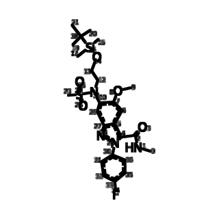 CNC(=O)c1c2cc(OC)c(N(CCO[Si](C)(C)C(C)(C)C)S(C)(=O)=O)cc2nn1-c1ccc(F)cc1